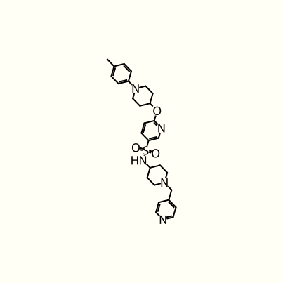 Cc1ccc(N2CCC(Oc3ccc(S(=O)(=O)NC4CCN(Cc5ccncc5)CC4)cn3)CC2)cc1